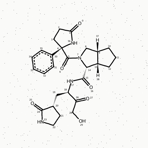 O=C1CC[C@](C(=O)N2C[C@@H]3CCC[C@@H]3[C@@H]2C(=O)N[C@H](C[C@@H]2CCNC2=O)C(=O)CO)(c2ccccc2)N1